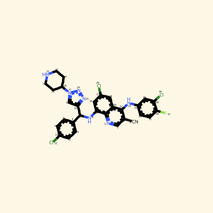 N#Cc1cnc2c(NC(c3ccc(Cl)cc3)c3cn(C4CCNCC4)nn3)cc(Cl)cc2c1Nc1ccc(F)c(Cl)c1